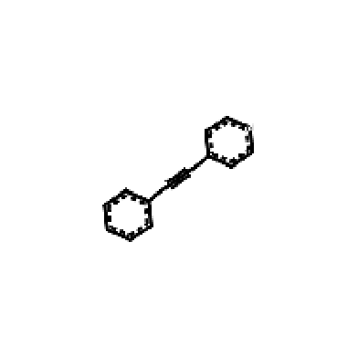 C(#Cc1ccncc1)c1[c]cccc1